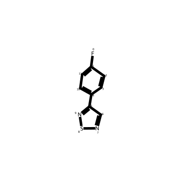 Fc1ccc(-c2cnsn2)cc1